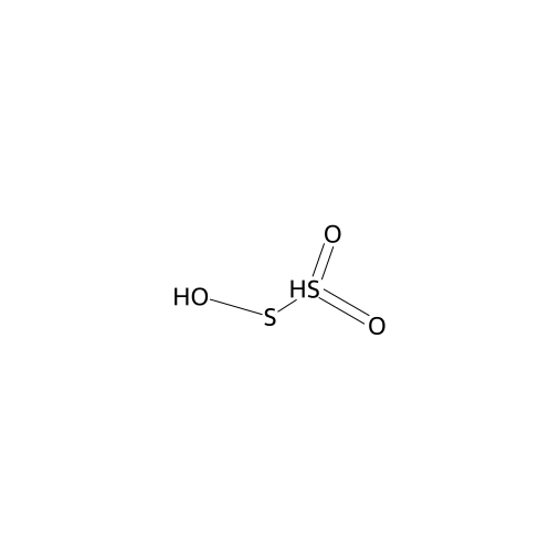 O=[SH](=O)SO